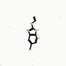 C=CSc1nc2cc(C)ccc2o1